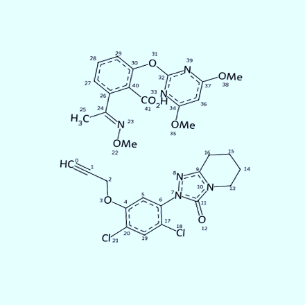 C#CCOc1cc(-n2nc3n(c2=O)CCCC3)c(Cl)cc1Cl.CON=C(C)c1cccc(Oc2nc(OC)cc(OC)n2)c1C(=O)O